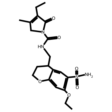 CCOc1cc2c(cc1S(N)(=O)=O)C(CNC(=O)N1CC(C)=C(CC)C1=O)CCO2